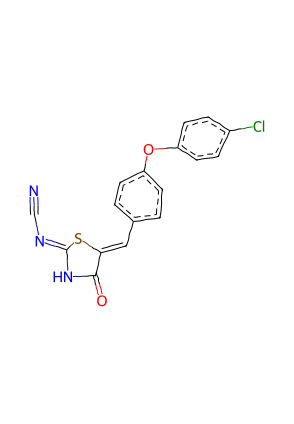 N#CN=C1NC(=O)C(=Cc2ccc(Oc3ccc(Cl)cc3)cc2)S1